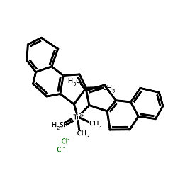 CC1=Cc2c(ccc3ccccc23)[CH]1[Ti+2]([CH3])([CH3])(=[SiH2])[CH]1C(C)=Cc2c1ccc1ccccc21.[Cl-].[Cl-]